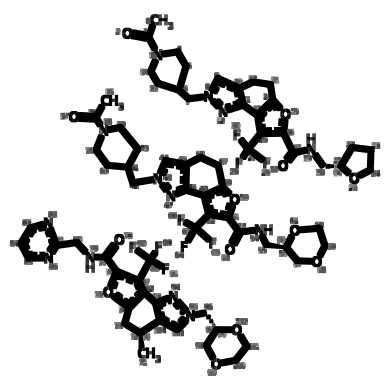 CC(=O)N1CCC(Cn2cc3c(n2)-c2c(oc(C(=O)NC[C@@H]4CCCO4)c2C(F)(F)F)CC3)CC1.CC(=O)N1CCC(Cn2cc3c(n2)-c2c(oc(C(=O)NC[C@@H]4COCCO4)c2C(F)(F)F)CC3)CC1.C[C@H]1Cc2oc(C(=O)NCc3ncccn3)c(C(F)(F)F)c2-c2nn(C[C@H]3COCCO3)cc21